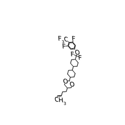 C/C=C/CCC1COC(C2CCC(C3CCC(C(F)(F)Oc4cc(F)c(C(F)(F)F)c(F)c4)CC3)CC2)OC1